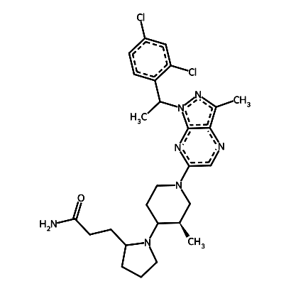 Cc1nn(C(C)c2ccc(Cl)cc2Cl)c2nc(N3CCC(N4CCCC4CCC(N)=O)[C@H](C)C3)cnc12